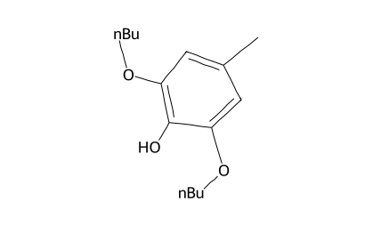 CCCCOc1cc(C)cc(OCCCC)c1O